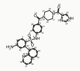 Nc1ccc(S(=O)(=O)Nc2ccc(C(=O)N3CCN(C(=O)c4c[nH]cn4)CC3)cc2)c(-c2cccc3cccnc23)c1